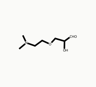 CN(C)CCOCC(O)C=O